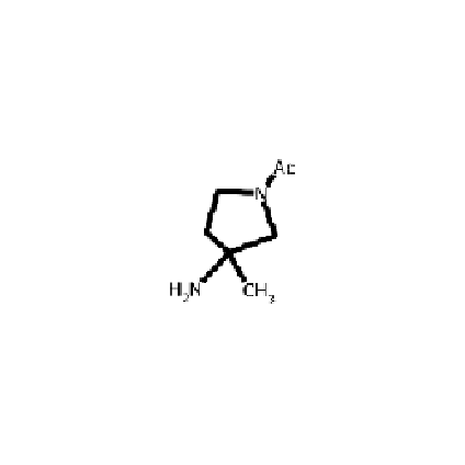 CC(=O)N1CCC(C)(N)C1